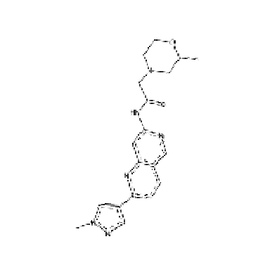 CC1CN(CC(=O)Nc2cc3nc(-c4cnn(C)c4)ccc3cn2)CCO1